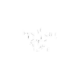 C=Cc1cc(N)cc2c1N(c1ccc(F)cc1)C(C=O)C(C)(C)O2